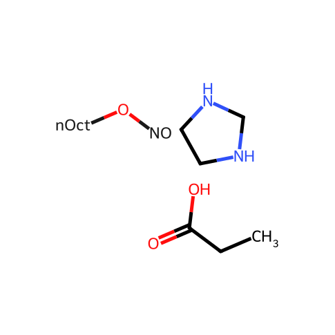 C1CNCN1.CCC(=O)O.CCCCCCCCON=O